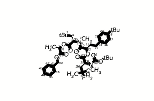 C[C@@H](OC(=O)[C@H](CC(C)(C)C)N(C)C(=O)[C@@H](CCc1ccc(C(C)(C)C)cc1)OC(=O)[C@H](CC(C)(C)F)N(C)C(=O)OC(C)(C)C)C(=O)OCc1ccccc1